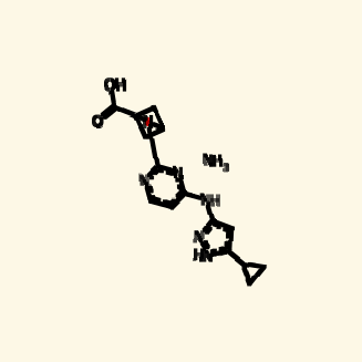 N.O=C(O)C12CC(C1)N(c1nccc(Nc3cc(C4CC4)[nH]n3)n1)C2